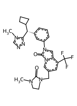 CN1CCN(Cc2cc(C(F)(F)F)c3cn(-c4cccc([C@H](c5nncn5C)C5CCC5)c4)c(=O)n3c2)C1=O